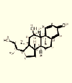 C[C@H](CO)[C@H]1CC[C@H]2[C@@H]3CCC4=CC(=O)C=C[C@]4(C)[C@H]3C(O)C[C@]12C